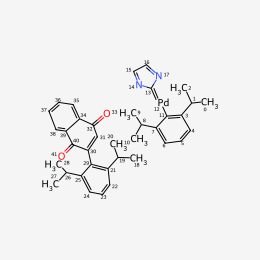 CC(C)c1cccc(C(C)C)[c]1[Pd]=[C]1N=CC=N1.CC(C)c1cccc(C(C)C)c1C1=CC(=O)c2ccccc2C1=O